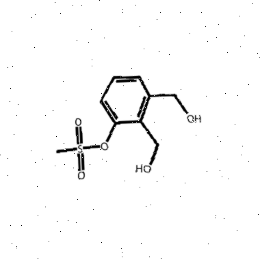 CS(=O)(=O)Oc1cccc(CO)c1CO